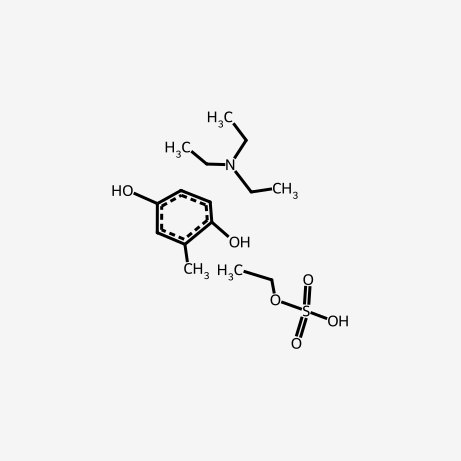 CCN(CC)CC.CCOS(=O)(=O)O.Cc1cc(O)ccc1O